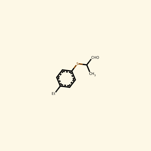 CCc1ccc(SC(C)C=O)cc1